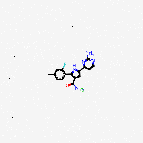 Cc1ccc(-c2[nH]c(-c3ccnc(N)n3)cc2C(N)=O)c(F)c1.Cl